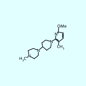 COc1ccc(C)c(N2CCC(N3CCN(C)CC3)CC2)n1